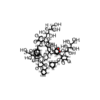 O=C1CN(CC(O)C(O)C(O)C(O)CO)C(N(CCCC(CCCN(C(=O)O)C2=C(OCc3ccccc3)C(=O)C(=O)CN2CC(O)C(O)C(O)C(O)CO)(CCCN(C(=O)O)C2=C(OCc3ccccc3)C(=O)C(=O)CN2CC(O)C(O)C(O)C(O)CO)N(C(=O)O)c2ccccc2)C(=O)O)=C(OCc2ccccc2)C1=O